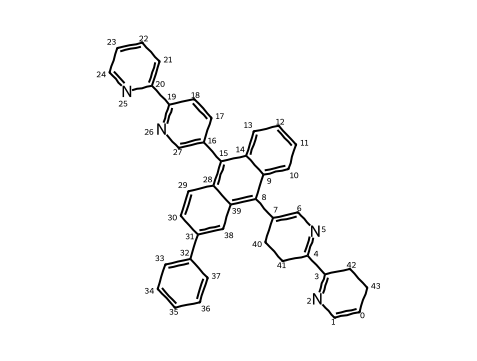 C1=CN=C(C2=NC=C(c3c4ccccc4c(-c4ccc(-c5ccccn5)nc4)c4ccc(-c5ccccc5)cc34)CC2)CC1